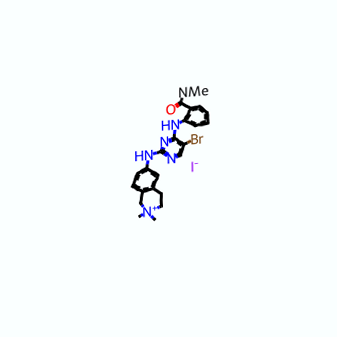 CNC(=O)c1ccccc1Nc1nc(Nc2ccc3c(c2)CC[N+](C)(C)C3)ncc1Br.[I-]